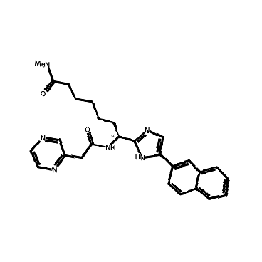 CNC(=O)CCCCC[C@H](NC(=O)Cc1cnccn1)c1ncc(-c2ccc3ccccc3c2)[nH]1